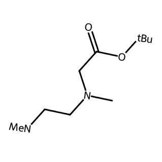 CNCCN(C)CC(=O)OC(C)(C)C